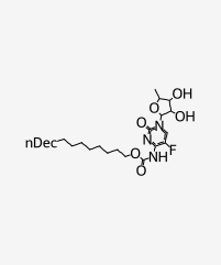 CCCCCCCCCCCCCCCCCCOC(=O)Nc1nc(=O)n(C2OC(C)C(O)C2O)cc1F